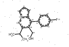 CC(C)c1nn2cccc2c(-c2ccc(F)cc2)c1CO